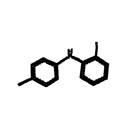 Cc1ccc(Pc2ccccc2C)cc1